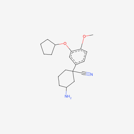 COc1ccc(C2(C#N)CCCC(N)C2)cc1OC1CCCC1